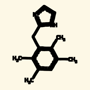 Cc1cc(C)c(C)c(Cc2ncc[nH]2)c1C